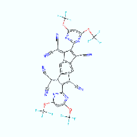 N#CC(C#N)=C1C(c2nc(OC(F)(F)F)cc(OC(F)(F)F)n2)=C(C#N)c2cc3c(cc21)C(=C(C#N)C#N)C(c1nc(OC(F)(F)F)cc(OC(F)(F)F)n1)=C3C#N